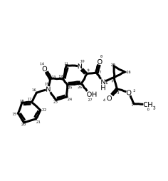 CCOC(=O)C1(NC(=O)c2ncc3c(=O)n(Cc4ccccc4)ccc3c2O)CC1